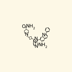 NC(=O)C1CCN(CC2CC(c3nc(-c4ccc5ccc(-c6ccccc6)nc5c4)c4c(N)nccn34)C2)CC1